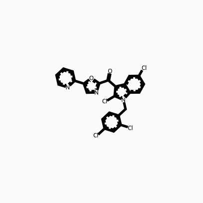 O=C(c1ncc(-c2ccccn2)o1)c1c(Cl)n(Cc2ccc(Cl)cc2Cl)c2ccc(Cl)cc12